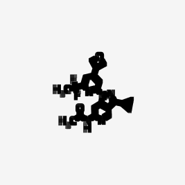 CC(=O)Nc1cc2c(cn1)c(C1CC1)nn2-c1cc(C2COC2)cc(C(C)(F)F)n1